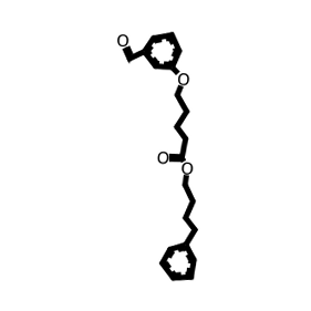 O=[C]c1cccc(OCCCCC(=O)OCCCCc2ccccc2)c1